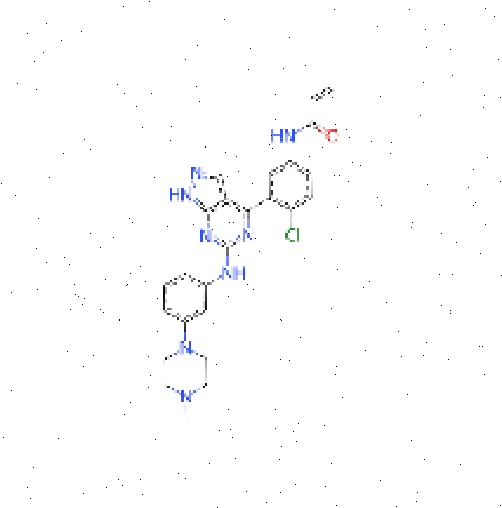 C=CC(=O)Nc1ccc(Cl)c(-c2nc(Nc3cccc(N4CCN(C)CC4)c3)nc3[nH]ncc23)c1